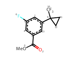 COC(=O)c1cc(F)cc(C2(C(F)(F)F)CC2)c1